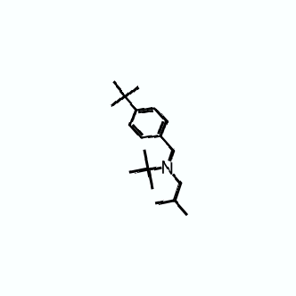 CC(C)CN(Cc1ccc(C(C)(C)C)cc1)C(C)(C)C